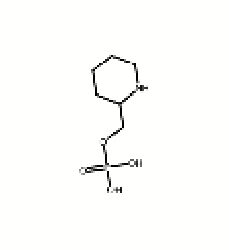 O=P(O)(O)OCC1CCCCN1